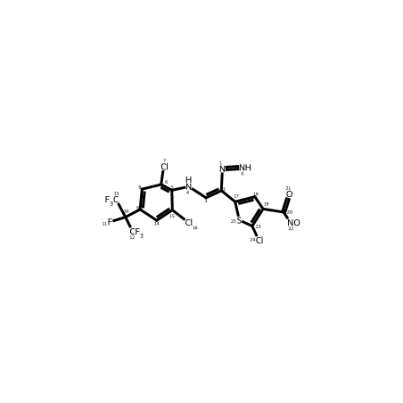 N=N/C(=C\Nc1c(Cl)cc(C(F)(C(F)(F)F)C(F)(F)F)cc1Cl)c1cc(C(=O)N=O)c(Cl)s1